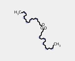 CC/C=C\C/C=C\C/C=C\C/C=C\C/C=C\CCCC(=O)OC(=O)CCC/C=C\C/C=C\C/C=C\C/C=C\C/C=C\CC